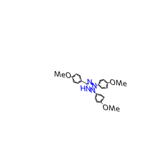 COc1ccc(C2=NN(c3ccc(OC)cc3)N(c3ccc(OC)cc3)N2)cc1